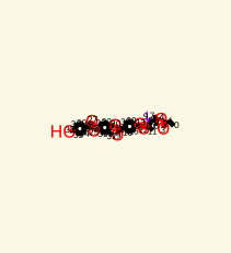 C=CC(=O)OC(C)(C)C(I)C(C)OOc1ccc(C(=O)Oc2ccc(OC(=O)c3ccc(O)cc3)cc2C)cc1